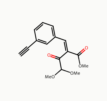 C#Cc1cccc(C=C(C(=O)OC)C(=O)C(OC)OC)c1